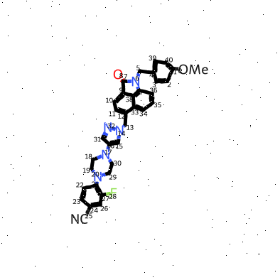 COc1ccc(CN2C(=O)c3ccc(Cn4cc(N5CCN(c6ccc(C#N)cc6F)CC5)cn4)c4cccc2c34)cc1